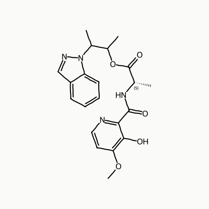 COc1ccnc(C(=O)N[C@@H](C)C(=O)OC(C)C(C)n2ncc3ccccc32)c1O